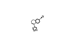 N#Cc1ccc2c(c1)CCC=C2c1cnns1